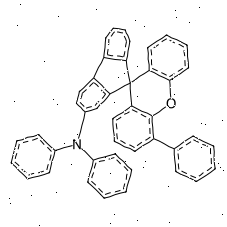 c1ccc(-c2cccc3c2Oc2ccccc2C32c3ccccc3-c3ccc(N(c4ccccc4)c4ccccc4)cc32)cc1